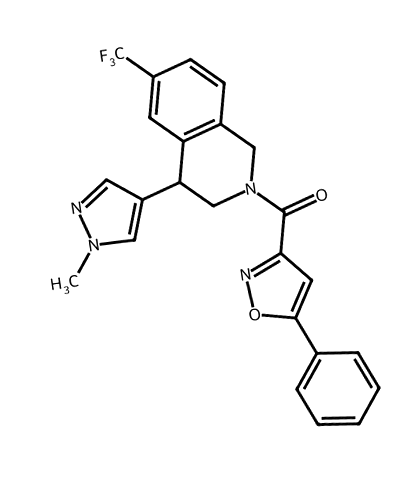 Cn1cc(C2CN(C(=O)c3cc(-c4ccccc4)on3)Cc3ccc(C(F)(F)F)cc32)cn1